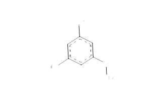 C[C](C)c1cc(OC(C)=O)cc(OC(C)(C)C)c1